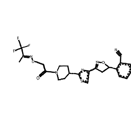 C/C(=N\OCC(=O)N1CCC(c2nc(C3=NOC(c4ccccc4C#N)C3)cs2)CC1)C(F)(F)F